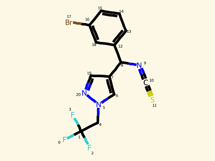 FC(F)(F)Cn1cc(C(N=C=S)c2cccc(Br)c2)cn1